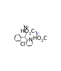 CN(C)CCC(c1ccccn1)c1ccccc1Cl.O=C(O)/C=C\C(=O)O